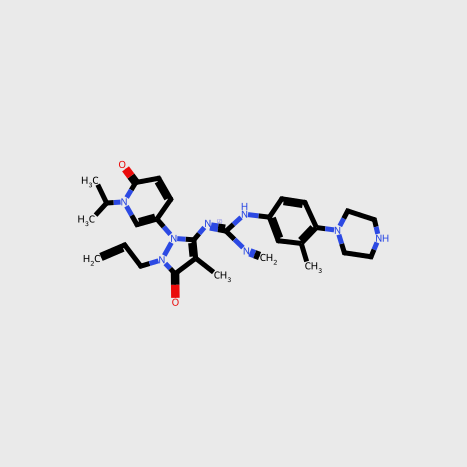 C=CCn1c(=O)c(C)c(/N=C(\N=C)Nc2ccc(N3CCNCC3)c(C)c2)n1-c1ccc(=O)n(C(C)C)c1